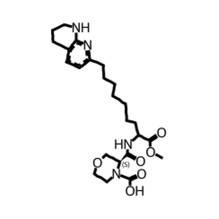 COC(=O)C(CCCCCCCc1ccc2c(n1)NCCC2)NC(=O)[C@@H]1COCCN1C(=O)O